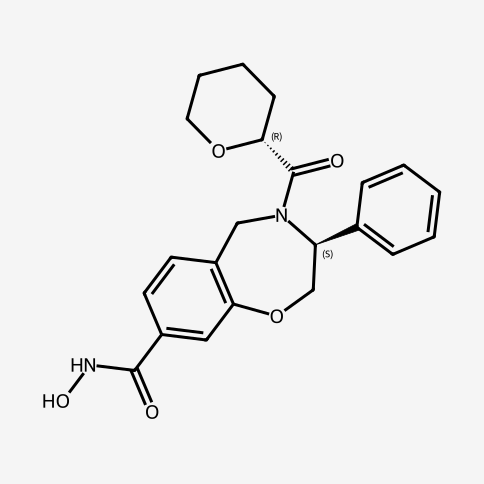 O=C(NO)c1ccc2c(c1)OC[C@H](c1ccccc1)N(C(=O)[C@H]1CCCCO1)C2